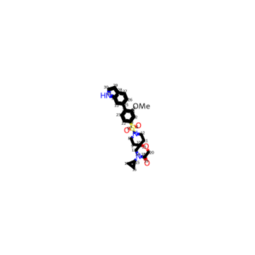 COc1cc(S(=O)(=O)N2CCC3(CC2)CN(C2CC2)C(=O)CO3)ccc1-c1ccc2cc[nH]c2c1